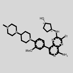 CCc1nc2c(N)ncc(-c3ccc(N4CCC(N5CCN(C)CC5)CC4)c(OC)c3)c2nc1N[C@H]1CC[C@H](O)C1